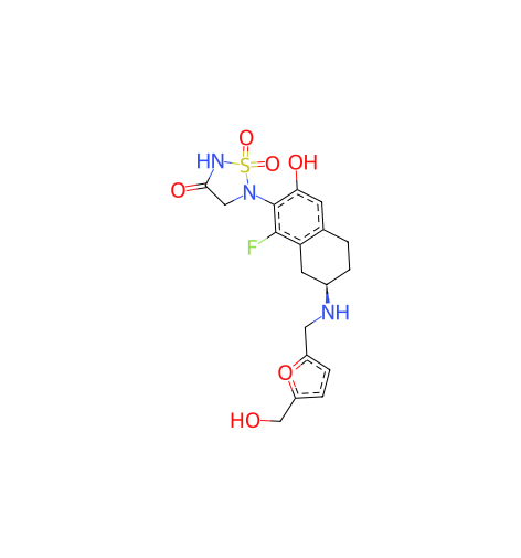 O=C1CN(c2c(O)cc3c(c2F)C[C@H](NCc2ccc(CO)o2)CC3)S(=O)(=O)N1